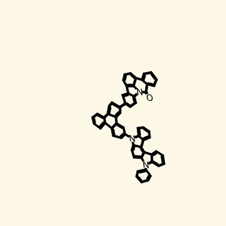 O=c1c2ccccc2c2cccc3c4cc(-c5ccc6c7ccccc7c7ccc(-n8c9ccccc9c9c%10c%11ccccc%11n(-c%11ccccc%11)c%10ccc98)cc7c6c5)ccc4n1c23